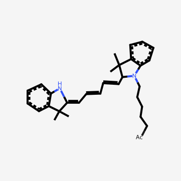 CC(=O)CCCCCN1c2ccccc2C(C)(C)C1/C=C/C=C/C=C1\Nc2ccccc2C1(C)C